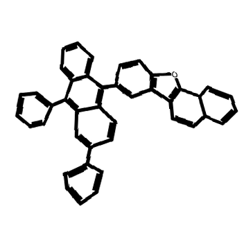 C1=CC2C=Cc3c(oc4ccc(-c5c6ccccc6c(-c6ccccc6)c6cc(-c7ccccc7)ccc56)cc34)C2C=C1